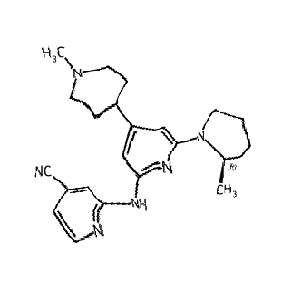 C[C@@H]1CCCN1c1cc(C2CCN(C)CC2)cc(Nc2cc(C#N)ccn2)n1